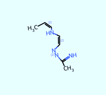 C/C=C\N/C=C\N=N/C(C)=N